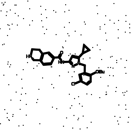 CC(C)COc1ccc(Cl)cc1Cn1nc(NC(=O)c2ccc3c(c2)CCNC3)cc1C1CC1